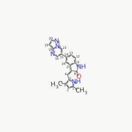 Cc1cc(C)c(/C=C2\C(=O)Nc3ccc(-c4cnc5ccnn5c4)cc32)[nH]1